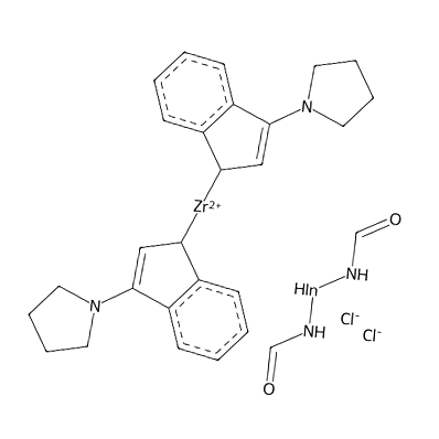 C1=C(N2CCCC2)c2ccccc2[CH]1[Zr+2][CH]1C=C(N2CCCC2)c2ccccc21.O=C[NH][InH][NH]C=O.[Cl-].[Cl-]